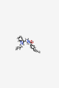 CC(C)CCn1cc(C2CCN(C(=O)c3ccc(C(C)(C)C)cc3)C2)c2ccccc21